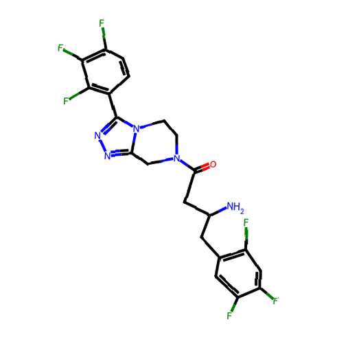 NC(CC(=O)N1CCn2c(nnc2-c2ccc(F)c(F)c2F)C1)Cc1cc(F)c(F)cc1F